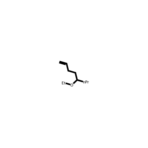 C=CCCC(CCC)OCC